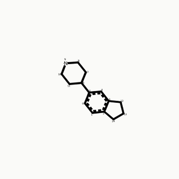 c1cc2c(cc1C1CC[N]CC1)CCC2